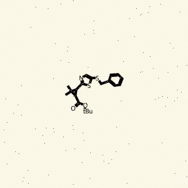 CC(C)(C)OC(=O)C1C(c2ncc(SCc3ccccc3)s2)C1(C)C